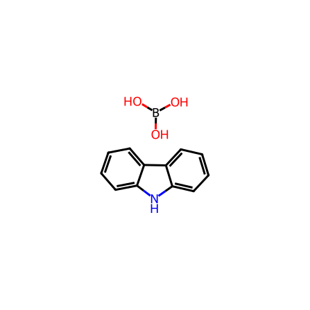 OB(O)O.c1ccc2c(c1)[nH]c1ccccc12